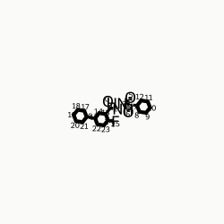 O=C(NNS(=O)(=O)c1ccccc1)c1cc(-c2ccccc2)ccc1F